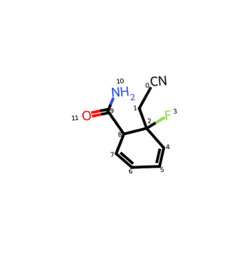 N#CCC1(F)C=CC=CC1C(N)=O